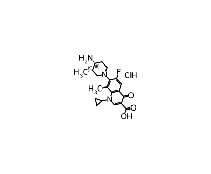 Cc1c(N2CC[C@@H](N)[C@@H](C)C2)c(F)cc2c(=O)c(C(=O)O)cn(C3CC3)c12.Cl